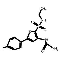 CCNS(=O)(=O)c1sc(-c2ccc(F)cc2)cc1NC(N)=O